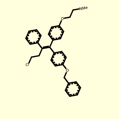 CNCCOc1ccc(/C(=C(/CCCl)c2ccccc2)c2ccc(OCc3ccccc3)cc2)cc1